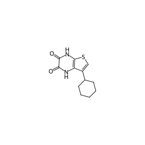 O=c1[nH]c2scc(C3CCCCC3)c2[nH]c1=O